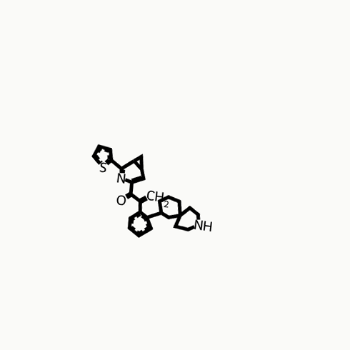 C=C(C(=O)C1=CC2CC2C(c2cccs2)=N1)c1ccccc1C1CCCC2(CCNCC2)C1